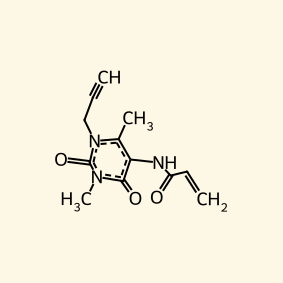 C#CCn1c(C)c(NC(=O)C=C)c(=O)n(C)c1=O